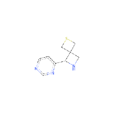 [c]1nccc(C2NCC23CSC3)n1